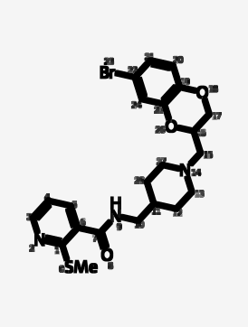 CSc1ncccc1C(=O)NCC1CCN(CC2COc3ccc(Br)cc3O2)CC1